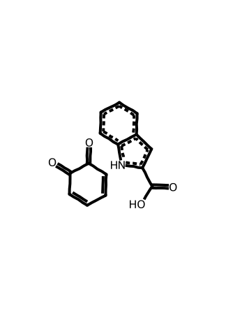 O=C(O)c1cc2ccccc2[nH]1.O=C1C=CC=CC1=O